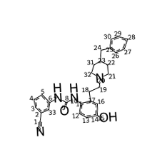 N#Cc1cccc(NC(=O)Nc2ccc(O)cc2CCN2CCC(Cc3ccccc3)CC2)c1